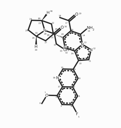 COc1cc(F)cc2cc(-c3cnn4c(N)c(C(C)=O)c([C@H]5C[C@H]6CC[C@@H](C5)N6C(=O)CO)nc34)cnc12